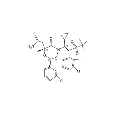 CC(C)(C)S(=O)(=O)C[C@H](C1CC1)N1C(=O)[C@@](C)(CC(N)=S)O[C@H](c2cccc(Cl)c2)[C@H]1c1ccc(Cl)c(F)c1